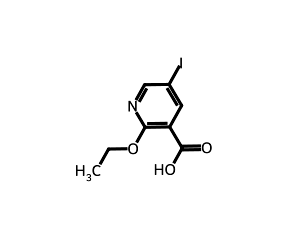 CCOc1ncc(I)cc1C(=O)O